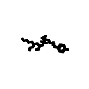 C=CCC(CCCCC)CC(CC)CC(C)(C)C1(CCSCc2ccc(C)cc2)CC1